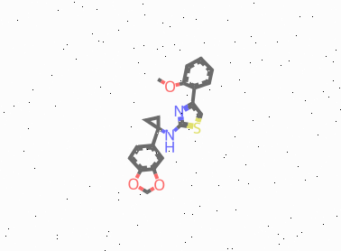 COc1ccccc1-c1csc(NC2(c3ccc4c(c3)OCO4)CC2)n1